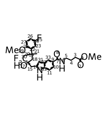 COC(=O)CCCNC(=O)c1ccc2[nH]c(CC(O)(CC(C)(C)c3cc(F)ccc3OC)C(F)(F)F)cc2c1